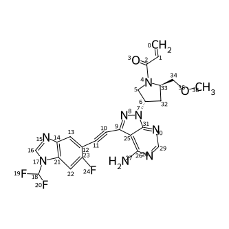 C=CC(=O)N1C[C@@H](n2nc(C#Cc3cc4ncn(C(F)F)c4cc3F)c3c(N)ncnc32)C[C@@H]1COC